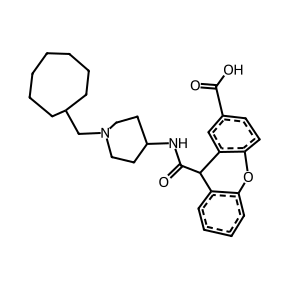 O=C(O)c1ccc2c(c1)C(C(=O)NC1CCN(CC3CCCCCCC3)CC1)c1ccccc1O2